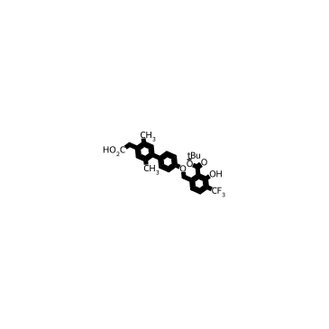 Cc1cc(-c2ccc(OCc3ccc(C(F)(F)F)c(O)c3C(=O)OC(C)(C)C)cc2)c(C)cc1CC(=O)O